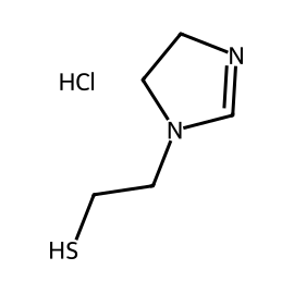 Cl.SCCN1C=NCC1